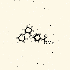 COC(=O)c1ccc(O[C@@H]2CCCC[C@H]2N2CCCCC2)cc1